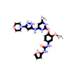 COc1cc(NC(=O)Nc2ccco2)ccc1Oc1nc(C)cc(Nc2cc(N3CCOCC3)n[nH]2)n1